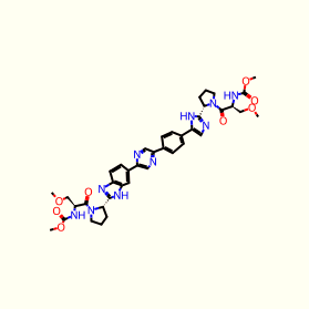 COC[C@H](NC(=O)OC)C(=O)N1CCC[C@H]1c1ncc(-c2ccc(-c3cnc(-c4ccc5nc([C@@H]6CCCN6C(=O)[C@H](COC)NC(=O)OC)[nH]c5c4)cn3)cc2)[nH]1